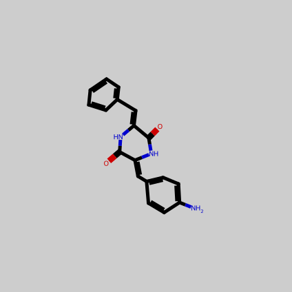 Nc1ccc(C=c2[nH]c(=O)c(=Cc3ccccc3)[nH]c2=O)cc1